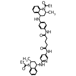 CCC(=O)N1c2ccccc2[C@H](Nc2ccc(NC(=O)CCCC(=O)Nc3ccc(N[C@@H]4C[C@H](C)N(C(=O)CC)c5ccccc54)nc3)cc2)C[C@@H]1C